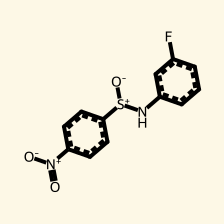 O=[N+]([O-])c1ccc([S+]([O-])Nc2cccc(F)c2)cc1